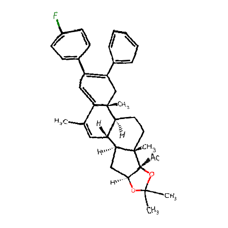 CC(=O)[C@@]12OC(C)(C)O[C@H]1C[C@H]1[C@@H]3C=C(C)C4=CC(c5ccc(F)cc5)=C(c5ccccc5)C[C@]4(C)[C@H]3CC[C@@]12C